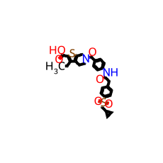 CCc1c(C(=O)O)sc2c1CCN(C(=O)c1ccc(NC(=O)Cc3ccc(S(=O)(=O)CC4CC4)cc3)cc1)C2